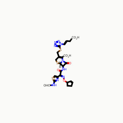 O=CNc1nc(C(=NOC2C=CCC2)C(=O)NC2C(=O)N3C(C(=O)O)=C(CSc4nnnn4C=CCC(=O)O)CS[C@@H]23)cs1